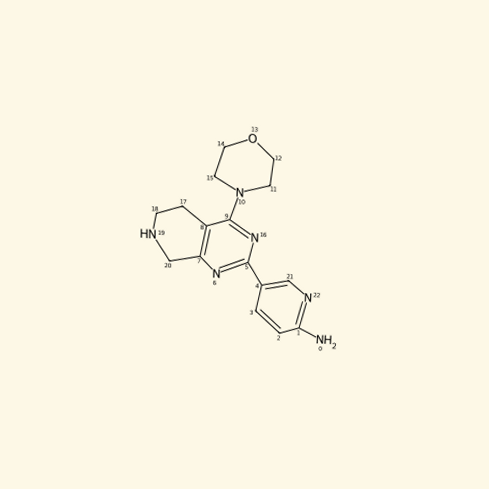 Nc1ccc(-c2nc3c(c(N4CCOCC4)n2)CCNC3)cn1